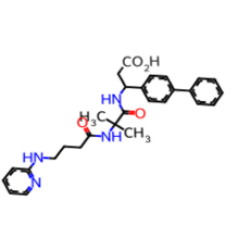 CC(C)(NC(=O)CCCNc1ccccn1)C(=O)NC(CC(=O)O)c1ccc(-c2ccccc2)cc1